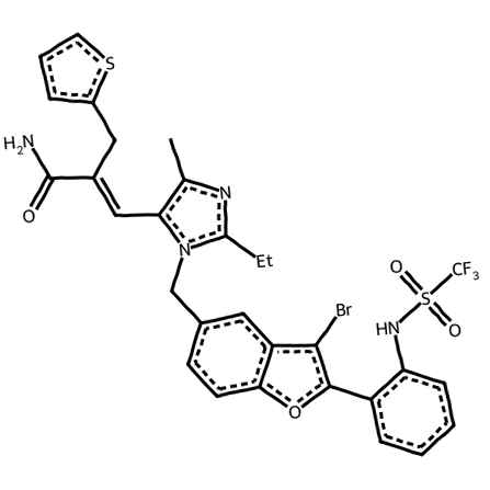 CCc1nc(C)c(/C=C(\Cc2cccs2)C(N)=O)n1Cc1ccc2oc(-c3ccccc3NS(=O)(=O)C(F)(F)F)c(Br)c2c1